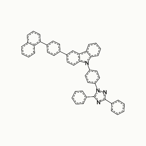 c1ccc(-c2nc(-c3ccccc3)n(-c3ccc(-n4c5ccccc5c5cc(-c6ccc(-c7cccc8ccccc78)cc6)ccc54)cc3)n2)cc1